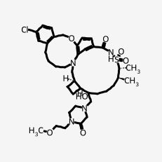 COCCN1CCN(C[C@]2(O)CCC[C@H](C)[C@@H](C)S(=O)(=O)NC(=O)c3ccc4c(c3)N(CCCCc3cc(Cl)ccc3CO4)C[C@@H]3CC[C@H]32)CC1=O